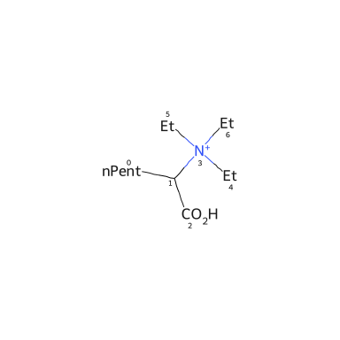 CCCCCC(C(=O)O)[N+](CC)(CC)CC